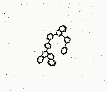 c1ccc(-c2cccc(-c3nc(-c4cccc(-c5ccc(-c6nc7ccccc7c7c6ccc6ccccc67)cc5)c4)nc4ccccc34)c2)cc1